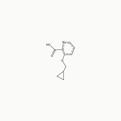 O=C(O)c1ncccc1OCC1CC1